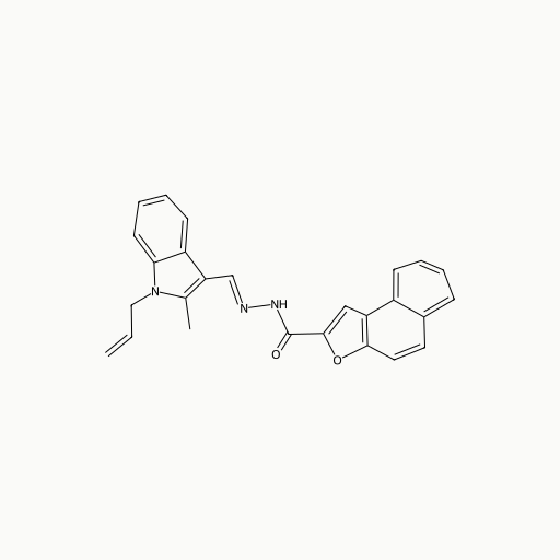 C=CCn1c(C)c(/C=N/NC(=O)c2cc3c(ccc4ccccc43)o2)c2ccccc21